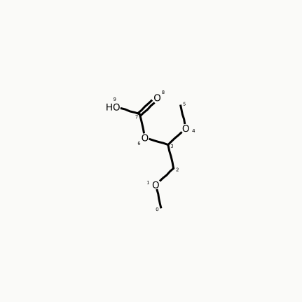 COCC(OC)OC(=O)O